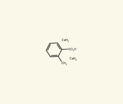 Cc1ccccc1S(=O)(=O)O.[CaH2].[CaH2]